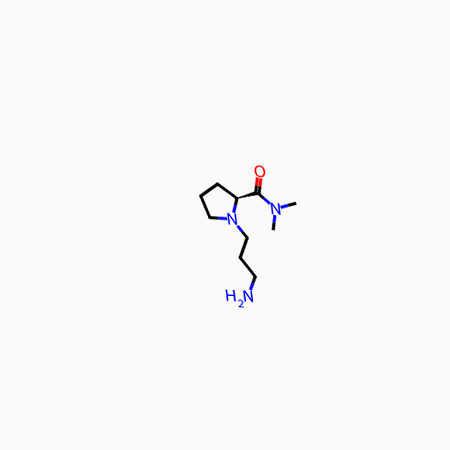 CN(C)C(=O)[C@@H]1CCCN1CCCN